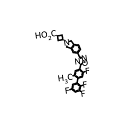 Cc1cc(-c2nc(-c3ccc4c(c3)CN([C@H]3C[C@@H](C(=O)O)C3)C4)no2)c(F)cc1-c1cc(F)cc(F)c1F